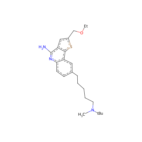 CCOCc1cc2c(N)nc3ccc(CCCCCN(C)C(C)(C)C)cc3c2s1